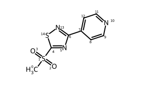 CS(=O)(=O)c1nc(-c2ccncc2)ns1